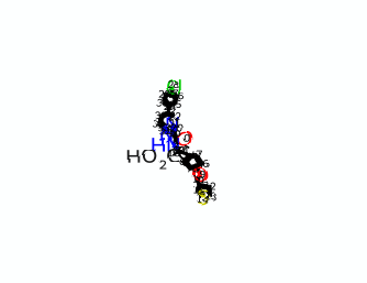 O=C(N[C@@H](Cc1ccc(OCc2ccsc2)cc1)C(=O)O)c1cn2cc(-c3ccc(Cl)cc3)ccc2n1